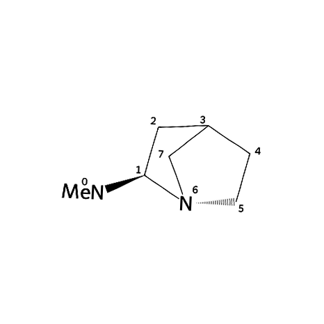 CN[C@H]1CC2CC[N@@]1C2